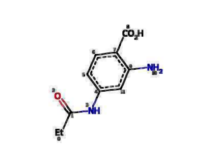 CCC(=O)Nc1ccc(C(=O)O)c(N)c1